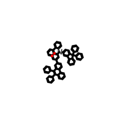 c1ccc(-c2ccccc2N(c2cccc(-c3ccc4c(c3)c(-c3ccccc3)c(-c3ccccc3)c3ccccc34)c2)c2ccc3c(c2)-c2ccccc2C3(c2ccccc2)c2ccccc2)cc1